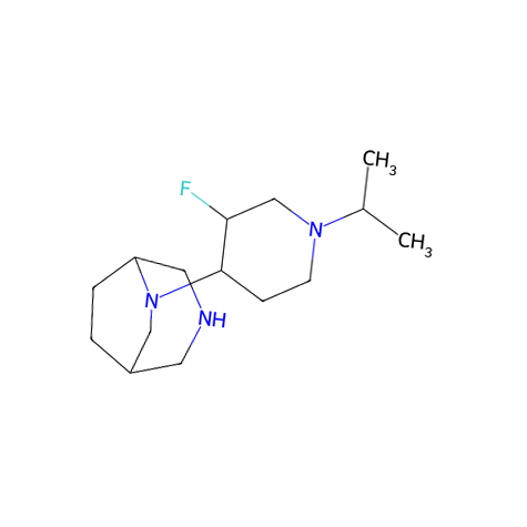 CC(C)N1CCC(N2CC3CCC2CNC3)C(F)C1